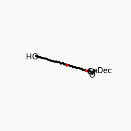 CCCCCCCCCCCC(=O)OCCCCCCCCCCCCCCCCCCCCCCCCCCCCCCCCCCO